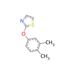 Cc1ccc(Oc2nccs2)cc1C